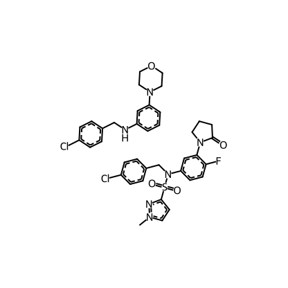 Clc1ccc(CNc2cccc(N3CCOCC3)c2)cc1.Cn1ccc(S(=O)(=O)N(Cc2ccc(Cl)cc2)c2ccc(F)c(N3CCCC3=O)c2)n1